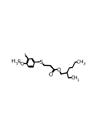 CCCCC(CC)COC(=O)CCSc1ccc(OC)c(I)c1